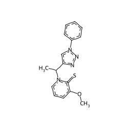 COc1cccn(C(C)c2cn(-c3ccccc3)nn2)c1=S